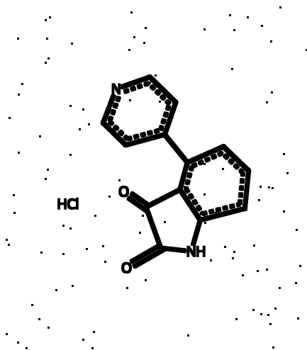 Cl.O=C1Nc2cccc(-c3ccncc3)c2C1=O